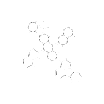 C/C=C\C1=C(C)C2=CC=CC3=C(c4ccc5c(C6=CC=C7C=CC=CC7C6)c6cc7c(cc6c(-c6ccc8ccccc8c6)c5c4)[Si](C)(C)c4ccccc4-7)C=CC1C23